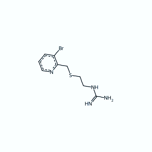 N=C(N)NCCSCc1ncccc1Br